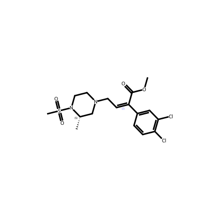 COC(=O)/C(=C\CN1CCN(S(C)(=O)=O)[C@@H](C)C1)c1ccc(Cl)c(Cl)c1